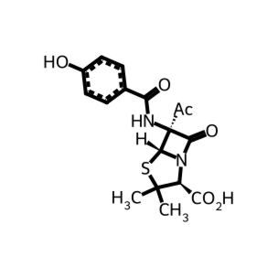 CC(=O)[C@]1(NC(=O)c2ccc(O)cc2)C(=O)N2[C@@H](C(=O)O)C(C)(C)S[C@@H]21